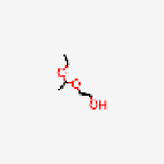 CCOC(C)OCCO